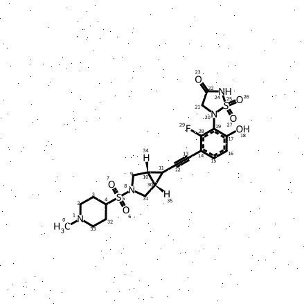 CN1CCC(S(=O)(=O)N2C[C@@H]3C(C#Cc4ccc(O)c(N5CC(=O)NS5(=O)=O)c4F)[C@@H]3C2)CC1